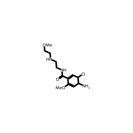 COCCNCCNC(=O)C1=CC(Cl)C(N)C=C1OC